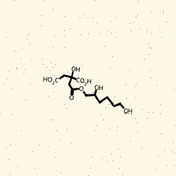 O=C(O)CC(O)(CC(=O)OCC(O)CCCCO)C(=O)O